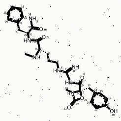 CN[C@@H](CCCNC(=N)NC(=O)[C@@]1(Cc2ccc(O)cc2)OC(=O)N1C)C(=O)N[C@@H](Cc1ccccc1)C(N)=O